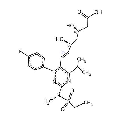 CCS(=O)(=O)N(C)c1nc(-c2ccc(F)cc2)c(/C=C/[C@@H](O)C[C@@H](O)CC(=O)O)c(C(C)C)n1